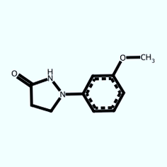 COc1cccc(N2CCC(=O)N2)c1